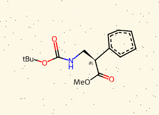 COC(=O)[C@@H](CNC(=O)OC(C)(C)C)c1ccccc1